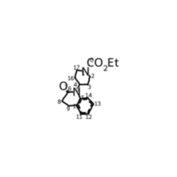 CCOC(=O)N1CCC(N2C(=O)CCc3ccccc32)CC1